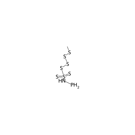 CSSSSS(=S)(=S)NP